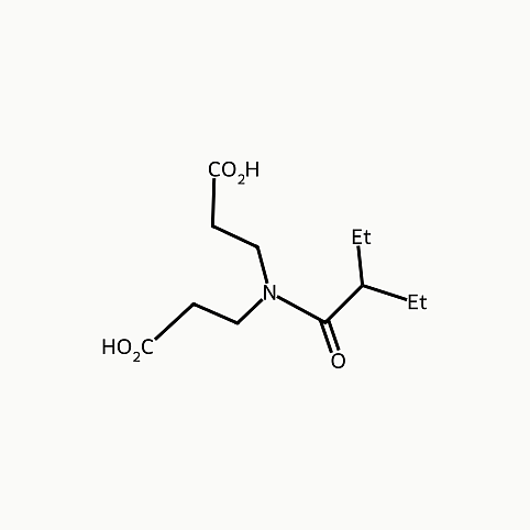 CCC(CC)C(=O)N(CCC(=O)O)CCC(=O)O